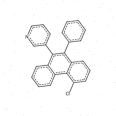 Clc1cccc2c(-c3ccccc3)c(-c3cccnc3)c3ccccc3c12